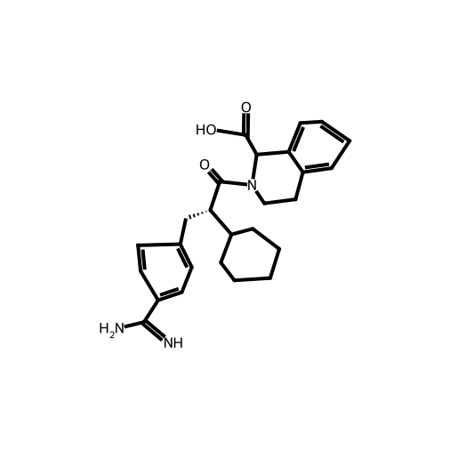 N=C(N)c1ccc(C[C@H](C(=O)N2CCc3ccccc3C2C(=O)O)C2CCCCC2)cc1